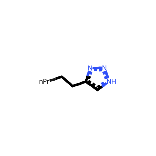 [CH2]CCCCc1c[nH]nn1